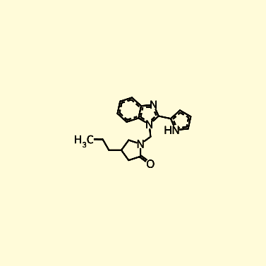 CCCC1CC(=O)N(Cn2c(-c3ccc[nH]3)nc3ccccc32)C1